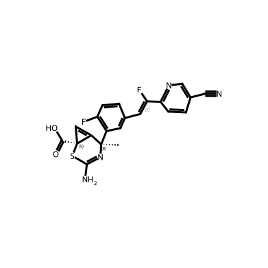 C[C@]1(c2cc(/C=C(\F)c3ccc(C#N)cn3)ccc2F)N=C(N)S[C@@]2(C(=O)O)C=C21